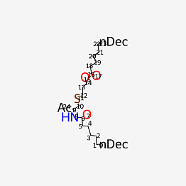 CCCCCCCCCCCCCCCC(=O)NC(CSCCCOC(=O)CCCCCCCCCCCCCCC)C(C)=O